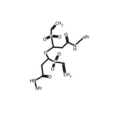 C=CS(=O)(=O)C(CC(=O)NCCC)OC(CC(=O)NCCC)S(=O)(=O)C=C